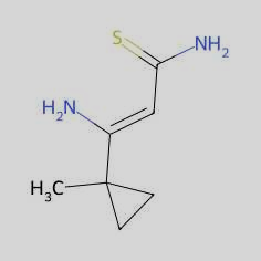 CC1(C(N)=CC(N)=S)CC1